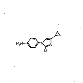 CCc1nc(C2CC2)cn1-c1ccc(N)cc1